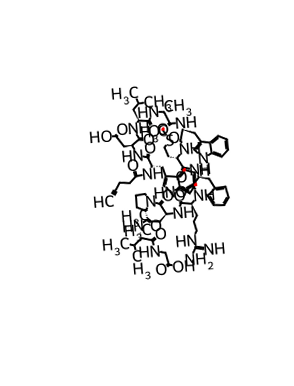 C#CCCC(=O)N[C@@H](Cc1c[nH]c2ccccc12)C(=O)N[C@@H](CC(=O)O)C(=O)N[C@@H](CC(C)C)C(=O)N[C@@H](C)C(=O)N[C@@H](Cc1c[nH]c2ccccc12)C(=O)N[C@@H](CCSC)C(=O)N[C@@H](Cc1ccccc1)C(=O)N[C@@H](CCCNC(=N)N)C(=O)N[C@@H](CC(C)C)C(=O)N1CCC[C@H]1C(=O)N[C@H](C(=O)NCC(=O)O)C(C)C